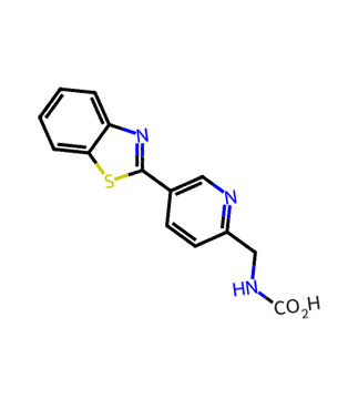 O=C(O)NCc1ccc(-c2nc3ccccc3s2)cn1